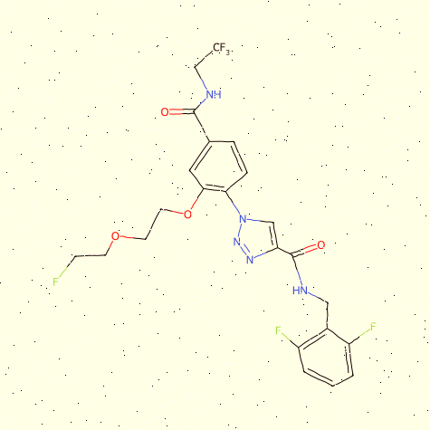 O=C(NCC(F)(F)F)c1ccc(-n2cc(C(=O)NCc3c(F)cccc3F)nn2)c(OCCOCCF)c1